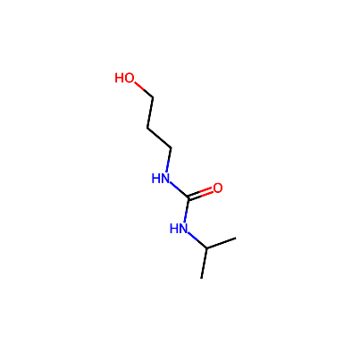 CC(C)NC(=O)NCCCO